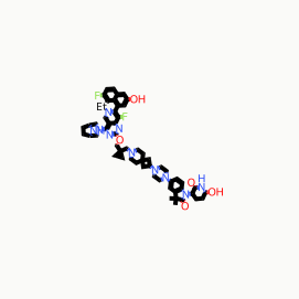 CCc1c(F)ccc2cc(O)cc(-c3ncc4c(N5CC6CCC(C5)N6)nc(OCC5(CN6CCC7(CC6)CC(N6CCN(c8ccc9c(c8)C(C)(C)C(=O)N9C8CCC(O)NC8=O)CC6)C7)CC5)nc4c3F)c12